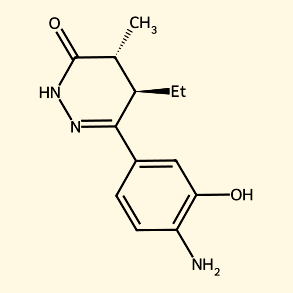 CC[C@H]1C(c2ccc(N)c(O)c2)=NNC(=O)[C@@H]1C